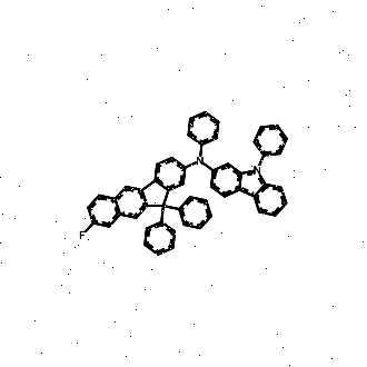 Fc1ccc2cc3c(cc2c1)C(c1ccccc1)(c1ccccc1)c1cc(N(c2ccccc2)c2ccc4c5ccccc5n(-c5ccccc5)c4c2)ccc1-3